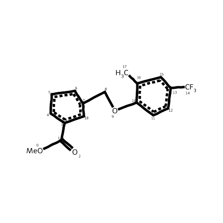 COC(=O)c1cccc(COc2ccc(C(F)(F)F)cc2C)c1